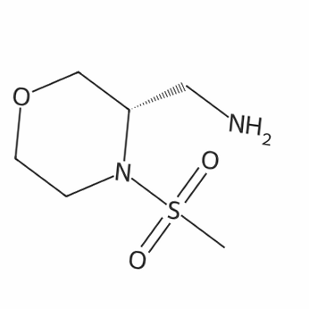 CS(=O)(=O)N1CCOC[C@@H]1CN